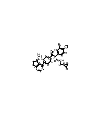 C[C@@H]1CCc2ncnc(N3CCN(C(=O)[C@H](CNCC4CC4)c4ccc(Cl)c(F)c4)CC3)c21